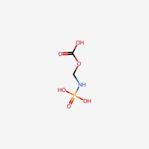 O=C(O)OCNP(=O)(O)O